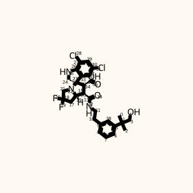 CC(C)(CO)c1cccc(CCNC(=O)[C@H]2[C@H]3CC(F)(F)CN3[C@]3(CNc4c(Cl)cc(Cl)cc43)[C@H]2C(=O)O)c1